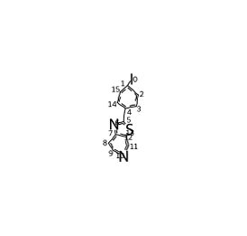 Ic1ccc(-c2nc3ccncc3s2)cc1